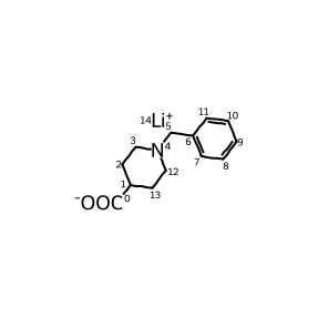 O=C([O-])C1CCN(Cc2ccccc2)CC1.[Li+]